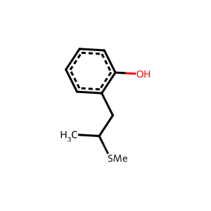 CSC(C)Cc1ccccc1O